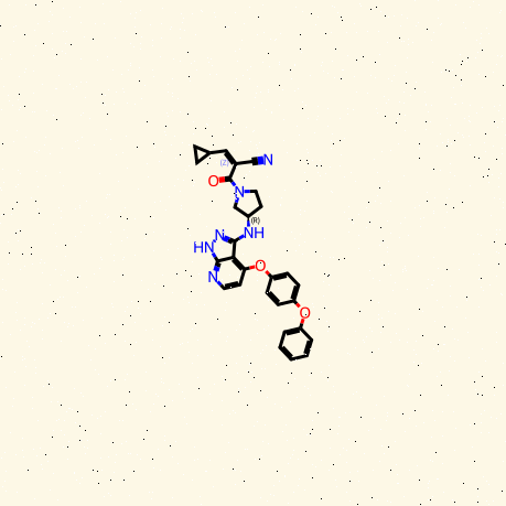 N#C/C(=C/C1CC1)C(=O)N1CC[C@@H](Nc2n[nH]c3nccc(Oc4ccc(Oc5ccccc5)cc4)c23)C1